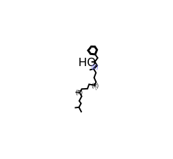 C/C(=C\C(O)Cc1ccccc1)CCC[C@H](C)CCC[C@H](C)CCCC(C)C